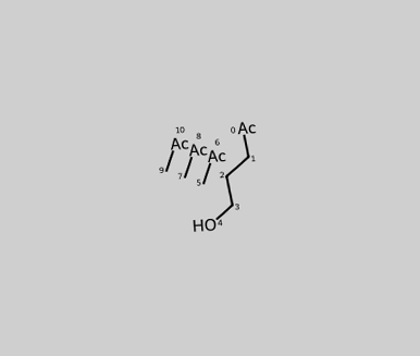 CC(=O)CCCO.CC(C)=O.CC(C)=O.CC(C)=O